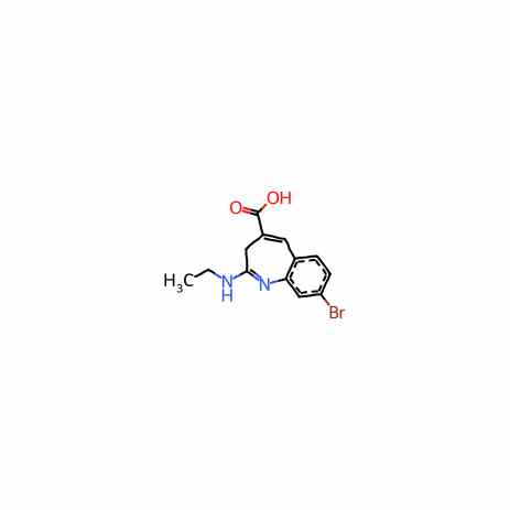 CCNC1=Nc2cc(Br)ccc2C=C(C(=O)O)C1